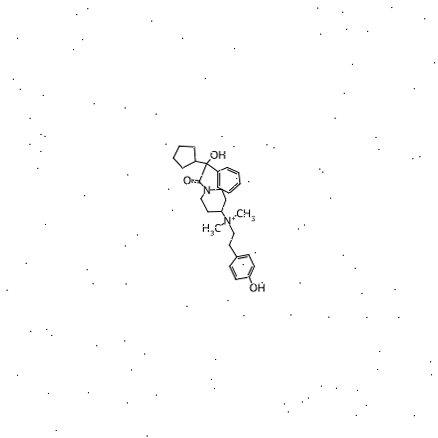 C[N+](C)(CCc1ccc(O)cc1)C1CCN(C(=O)C(O)(c2ccccc2)C2CCCC2)CC1